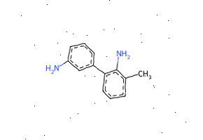 Cc1cccc(-c2cccc(N)c2)c1N